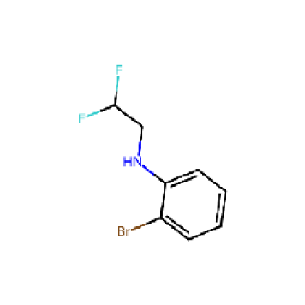 FC(F)CNc1ccccc1Br